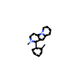 Cc1ccccc1-c1c2cc3ccccn3c2cc[n+]1C